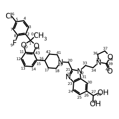 CC1(c2ccc(Cl)cc2F)Oc2cccc(C3CCN(Cc4nc5ccc(C(O)O)cc5n4CCN4CCOC4=O)CC3)c2O1